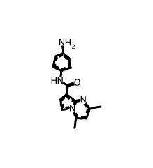 Cc1cc(C)n2ccc(C(=O)Nc3ccc(N)cc3)c2n1